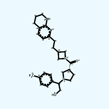 O=C([C@@H]1CCN(C(CO)c2ccc(C(F)(F)F)cc2)C1)N1CC(CCc2ccc3c(n2)NCCC3)C1